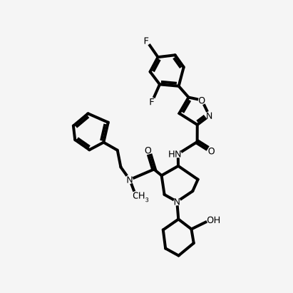 CN(CCc1ccccc1)C(=O)C1CN(C2CCCCC2O)CCC1NC(=O)c1cc(-c2ccc(F)cc2F)on1